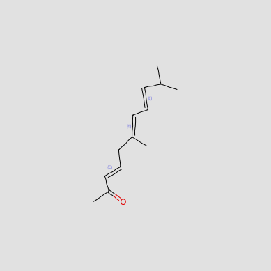 CC(=O)/C=C/C/C(C)=C/C=C/C(C)C